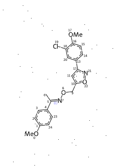 COc1ccc(/C(C)=N/OCc2cc(-c3ccc(OC)c(Cl)c3)no2)cc1